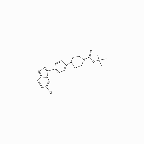 CC(C)(C)OC(=O)N1CCC(c2ccc(-c3cnc4ccc(Cl)nn34)cc2)CC1